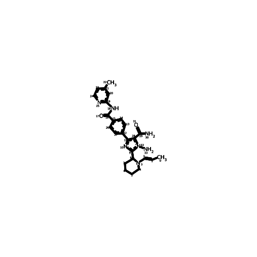 CC=CN1CCCCC1c1nc(-c2ccc(C(=O)Nc3cc(C)ccn3)cc2)c(C(N)=O)n1N